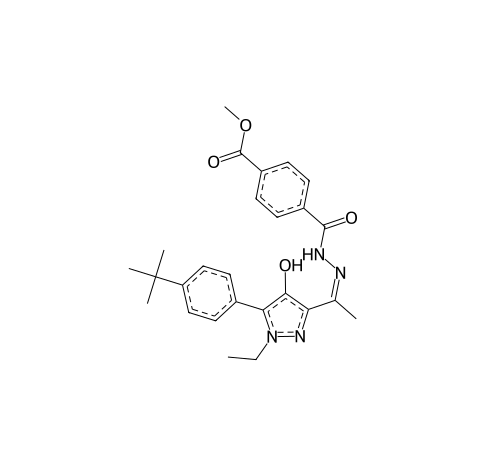 CCn1nc(C(C)=NNC(=O)c2ccc(C(=O)OC)cc2)c(O)c1-c1ccc(C(C)(C)C)cc1